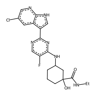 CCNC(=O)C1(O)CCCC(Nc2nc(-c3c[nH]c4ncc(Cl)cc34)ncc2F)C1